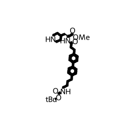 COC(=O)[C@H](CC1CCNCC1)NC(=O)CCc1ccc(-c2ccc(CCCCNC(=O)OC(C)(C)C)cc2)cc1